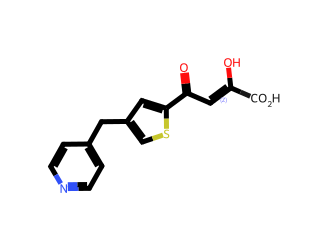 O=C(O)/C(O)=C/C(=O)c1cc(Cc2ccncc2)cs1